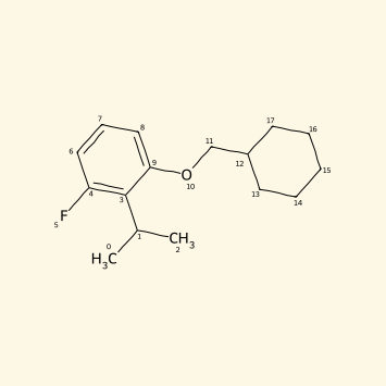 CC(C)c1c(F)cccc1OCC1CCCCC1